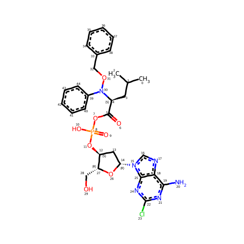 CC(C)C[C@@H](C(=O)OP(=O)(O)O[C@H]1C[C@H](n2cnc3c(N)nc(Cl)nc32)O[C@@H]1CO)N(OCc1ccccc1)c1ccccc1